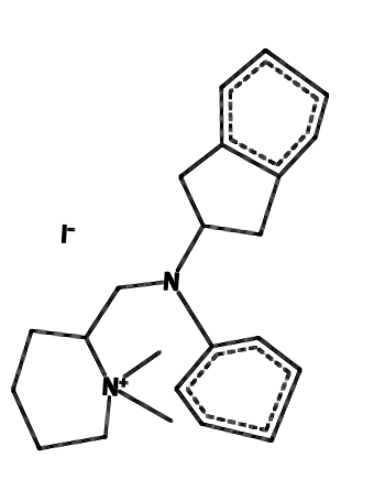 C[N+]1(C)CCCCC1CN(c1ccccc1)C1Cc2ccccc2C1.[I-]